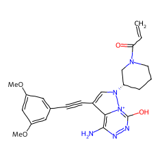 C=CC(=O)N1CCC[C@H](n2cc(C#Cc3cc(OC)cc(OC)c3)c3c(N)nnc(O)[n+]32)C1